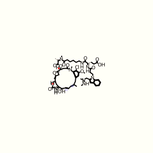 CNN(C)Cc1cc2ccccc2n1CCC(=O)N[C@@H](CCC(=O)O)C(=O)NCCCCCC(=O)N(C)[C@@H](C)C(=O)O[C@H]1CC(=O)N(C)c2cc(cc(OC)c2Cl)C/C(C)=C/C=C/[C@@H](O)[C@@]2(O)C[C@H](OC(=O)N2)C2(C)C[C@@]1(C)O2